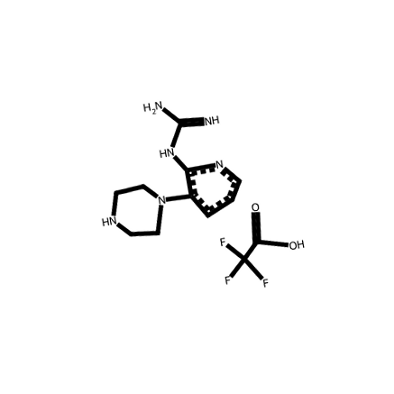 N=C(N)Nc1ncccc1N1CCNCC1.O=C(O)C(F)(F)F